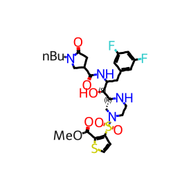 CCCCN1CC(C(=O)NC(Cc2cc(F)cc(F)c2)[C@H](O)[C@H]2CN(S(=O)(=O)c3ccsc3C(=O)OC)CCN2)CC1=O